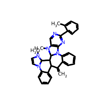 C=C1c2ccccc2N2c3nc(-c4ccccc4C)ncc3N(C)C2C2C1c1ccccc1N1C=CN(C)C21